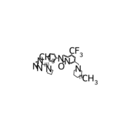 C[C@H]1CCCN(Cc2cc(C(F)(F)F)c3cn(-c4cccc([C@@H](c5nncn5C)N5CCC5)c4)c(=O)n3c2)C1